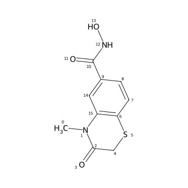 CN1C(=O)CSc2ccc(C(=O)NO)cc21